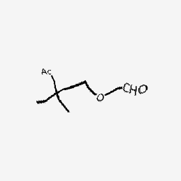 CC(=O)C(C)(C)COC=O